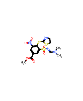 COC(=O)c1cc([N+](=O)[O-])c(SC2=NCCS2)c(S(=O)(=O)N=CN(C)C)c1